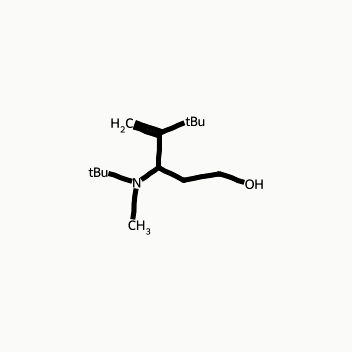 C=C(C(CCO)N(C)C(C)(C)C)C(C)(C)C